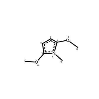 COc1ccc(OC)n1C